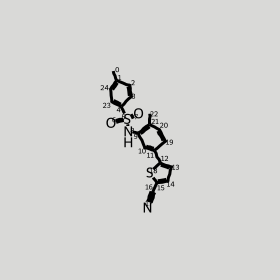 Cc1ccc(S(=O)(=O)Nc2cc(-c3ccc(C#N)s3)ccc2C)cc1